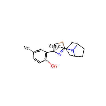 CCOC(=O)C1CC2CCC(C1)N2c1nc(-c2cc(C#N)ccc2O)cs1